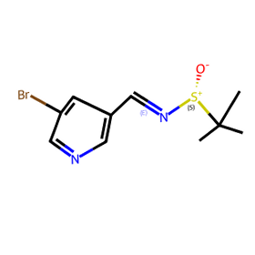 CC(C)(C)[S@@+]([O-])/N=C/c1cncc(Br)c1